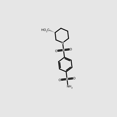 NS(=O)(=O)c1ccc(S(=O)(=O)N2CCC[C@@H](C(=O)O)C2)cc1